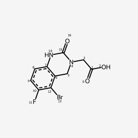 O=C(O)CN1Cc2c(ccc(F)c2Br)NC1=O